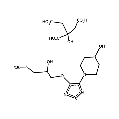 CC(C)(C)NCC(O)COc1nsnc1N1CCC(O)CC1.O=C(O)CC(O)(CC(=O)O)C(=O)O